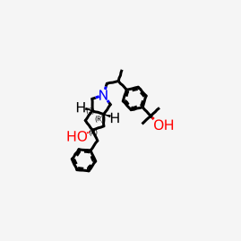 CC(CN1C[C@@H]2C[C@@](O)(Cc3ccccc3)C[C@@H]2C1)c1ccc(C(C)(C)O)cc1